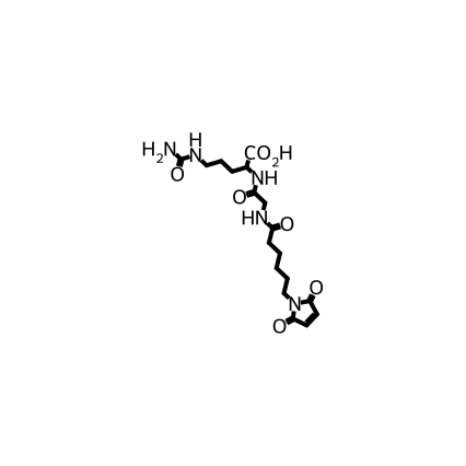 NC(=O)NCCCC(NC(=O)CNC(=O)CCCCCN1C(=O)C=CC1=O)C(=O)O